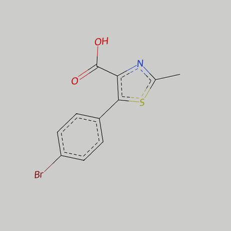 Cc1nc(C(=O)O)c(-c2ccc(Br)cc2)s1